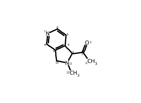 CC(=O)C1c2ccncc2CN1C